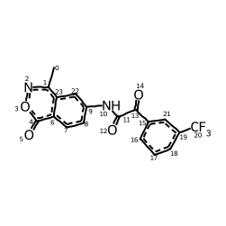 Cc1noc(=O)c2ccc(NC(=O)C(=O)c3cccc(C(F)(F)F)c3)cc12